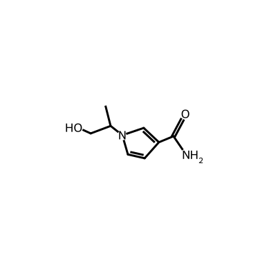 CC(CO)n1ccc(C(N)=O)c1